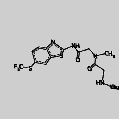 CN(CC(=O)Nc1nc2ccc(SC(F)(F)F)cc2s1)C(=O)CNC(C)(C)C